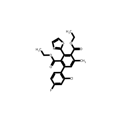 CCOC(=O)c1c(C)cc(-c2ccc(F)cc2Cl)c(C(=O)OCC)c1-c1nccs1